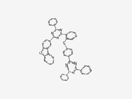 c1ccc(-c2nc(-c3ccccc3)nc(-c3ccc(Sc4ccccc4-c4nc(-c5ccccc5)nc(-c5ccc6oc7ccccc7c6c5)n4)cc3)n2)cc1